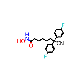 N#CC(CCCCCC(=O)NO)(c1ccc(F)cc1)c1ccc(F)cc1